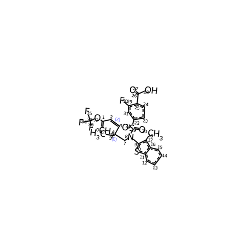 C=C(/C=C\C(=C/C)CN(c1sc2ccccc2c1C)S(=O)(=O)c1ccc(C(=O)O)c(F)c1)OC(F)(F)F